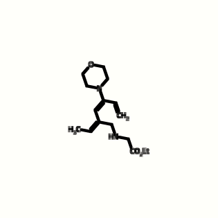 C=C/C(=C\C(=C/C)CNCC(=O)OCC)N1CCOCC1